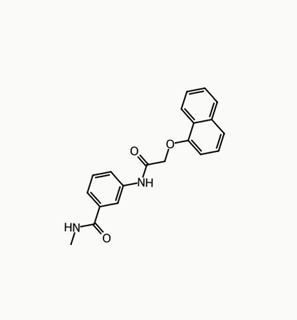 CNC(=O)c1cccc(NC(=O)COc2cccc3ccccc23)c1